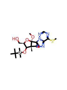 CO[C@@]1(c2cnc3c(SC)ncnn23)O[C@H](CO)C(O[Si](C)(C)C(C)(C)C)[C@@]1(C)C#N